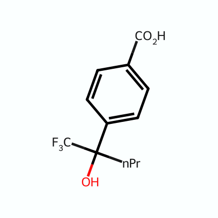 CCCC(O)(c1ccc(C(=O)O)cc1)C(F)(F)F